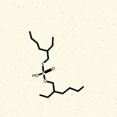 CCCCC(CC)COP(=O)(O)SCC(CC)CCCC